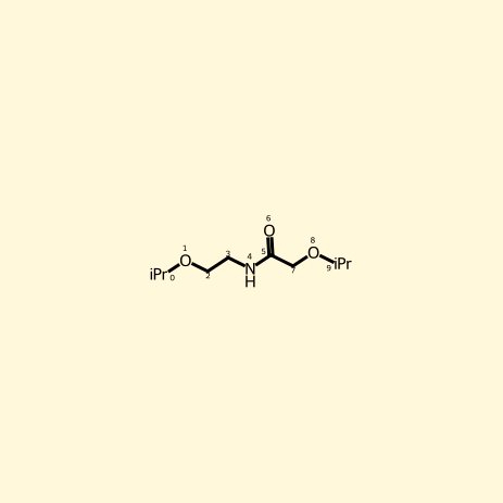 CC(C)OCCNC(=O)COC(C)C